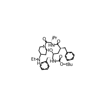 CCNC1CCN(C(=O)[C@@H](NC(=O)[C@@H](Cc2ccccc2)C[C@H](O)[C@@H](Cc2ccccc2)NC(=O)OC(C)(C)C)C(C)C)CC1